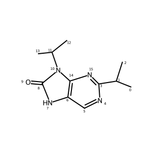 CC(C)c1ncc2[nH]c(=O)n(C(C)C)c2n1